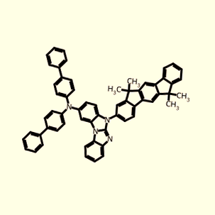 CC1(C)c2ccccc2-c2cc3c(cc21)-c1ccc(-n2c4ccc(N(c5ccc(-c6ccccc6)cc5)c5ccc(-c6ccccc6)cc5)cc4n4c5ccccc5nc24)cc1C3(C)C